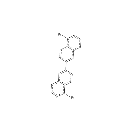 CC(C)c1cccc2cc(-c3ccc4c(C(C)C)nccc4c3)ncc12